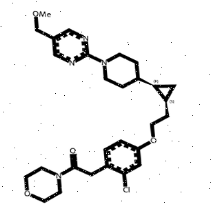 COCc1cnc(N2CCC([C@H]3C[C@H]3CCOc3ccc(CC(=O)N4CCOCC4)c(Cl)c3)CC2)nc1